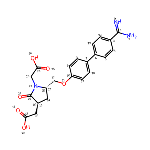 N=C(N)c1ccc(-c2ccc(OC[C@@H]3C[C@@H](CC(=O)O)C(=O)N3CC(=O)O)cc2)cc1